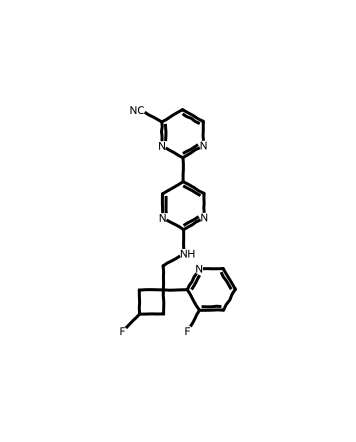 N#Cc1ccnc(-c2cnc(NCC3(c4ncccc4F)CC(F)C3)nc2)n1